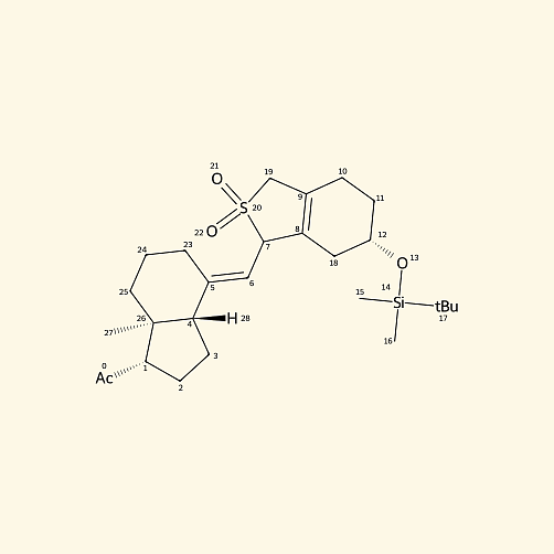 CC(=O)[C@H]1CC[C@H]2C(=CC3C4=C(CC[C@H](O[Si](C)(C)C(C)(C)C)C4)CS3(=O)=O)CCC[C@]12C